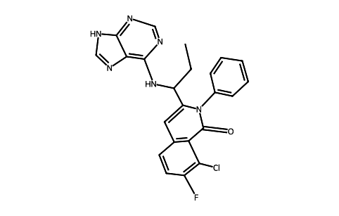 CCC(Nc1ncnc2[nH]cnc12)c1cc2ccc(F)c(Cl)c2c(=O)n1-c1ccccc1